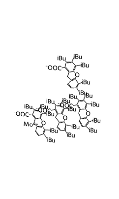 CCC(C)c1ccc2c(c1C(C)CC)Oc1c(c(C(=O)[O-])c(C(C)CC)c(C(C)CC)c1C(C)CC)C2.CCC(C)c1ccc2c(c1C(C)CC)Oc1c(c(C(=O)[O-])c(C(C)CC)c(C(C)CC)c1C(C)CC)C2.CCC(C)c1ccc2c(c1C(C)CC)Oc1c(c(C(=O)[O-])c(C(C)CC)c(C(C)CC)c1C(C)CC)C2.CCC(C)c1ccc2c(c1C(C)CC)Oc1c(c(C(=O)[O-])c(C(C)CC)c(C(C)CC)c1C(C)CC)C2.[Mo+4]